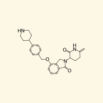 C=C1CCC(N2Cc3c(OCc4ccc(C5CCNCC5)cc4)cccc3C2=O)C(=O)N1